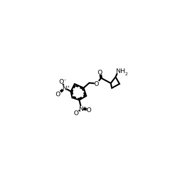 NC1CCC1C(=O)OCc1cc([N+](=O)[O-])cc([N+](=O)[O-])c1